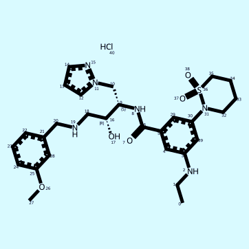 CCNc1cc(C(=O)N[C@@H](Cn2cccn2)[C@H](O)CNCc2cccc(OC)c2)cc(N2CCCCS2(=O)=O)c1.Cl